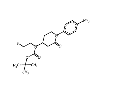 CC(C)(C)OC(=O)N(CCF)C1CCN(c2ccc(N)cc2)C(=O)C1